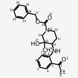 CCC(=O)c1ccccc1NC1CCN(C(=O)OCc2ccccc2)CC1(C)O